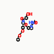 CC(=O)NCCN1CCCc2ccc(COC3CN(C(=O)c4cccc(CO)c4)CCC3c3ccc(OCCCOCc4ccccc4)cc3)cc21